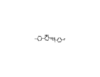 Cc1ccc(-c2ccc(NCC(C)(C)c3ccc(F)cc3)nn2)cc1